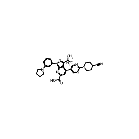 CC(C)c1nn(-c2cccc(N3CCCC3)c2)c2nc(C(=O)O)cc(-c3cnc(N4CCC(C#N)CC4)nc3)c12